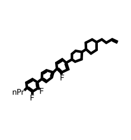 C=CCCC1CCC(C2CCC(c3ccc(-c4ccc(-c5ccc(CCC)c(F)c5F)cc4)c(F)c3)CC2)CC1